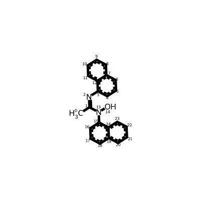 CC(=Nc1cccc2ccccc12)N(O)c1cccc2ccccc12